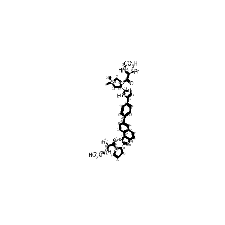 CC(C)[C@H](NC(=O)O)C(=O)N1CS(C)(C)C[C@H]1c1ncc(-c2ccc(-c3ccc4c(ccc5nc([C@@H]6CCCN6C(=O)[C@@H](NC(=O)O)C(C)C)[nH]c54)c3)cc2)[nH]1